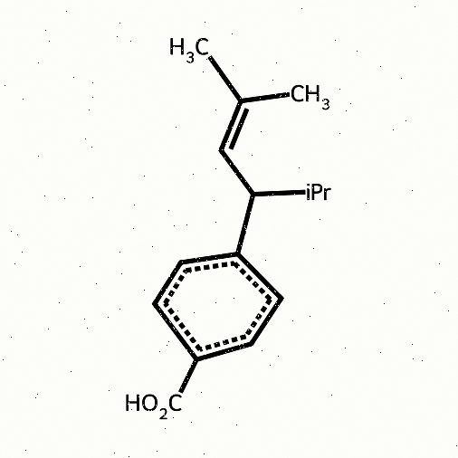 CC(C)=CC(c1ccc(C(=O)O)cc1)C(C)C